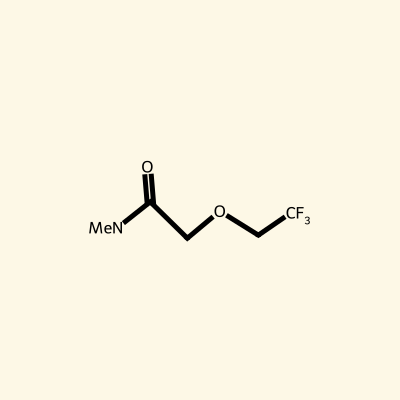 [CH2]NC(=O)COCC(F)(F)F